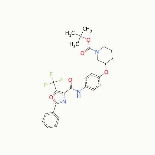 CC(C)(C)OC(=O)N1CCCC(Oc2ccc(NC(=O)c3nc(-c4ccccc4)oc3C(F)(F)F)cc2)C1